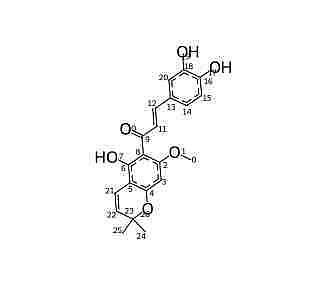 COc1cc2c(c(O)c1C(=O)/C=C/c1ccc(O)c(O)c1)C=CC(C)(C)O2